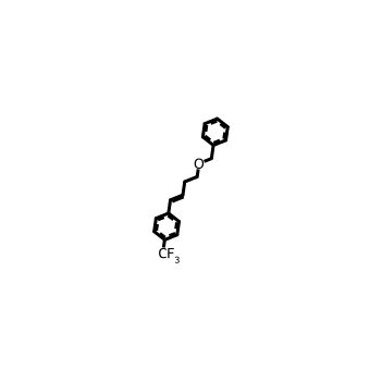 FC(F)(F)c1ccc(C=CCCOCc2ccccc2)cc1